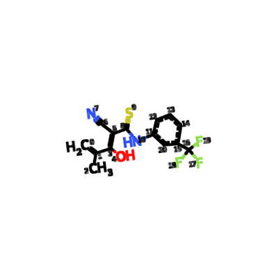 C=C(C)C(O)=C(C#N)C(=S)Nc1cccc(C(F)(F)F)c1